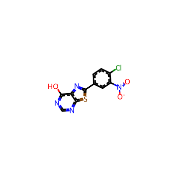 O=[N+]([O-])c1cc(-c2nc3c(O)ncnc3s2)ccc1Cl